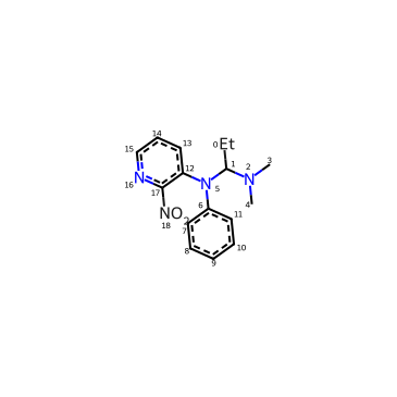 CCC(N(C)C)N(c1ccccc1)c1cccnc1[N+](=O)[O-]